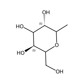 CC1OC(CO)[C@@H](O)C(O)[C@@H]1O